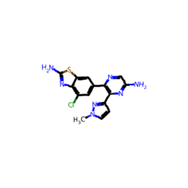 Cn1ccc(-c2nc(N)cnc2-c2cc(Cl)c3nc(N)sc3c2)n1